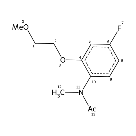 COCCOc1cc(F)ccc1N(C)C(C)=O